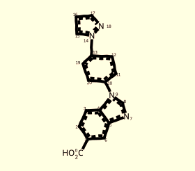 O=C(O)c1ccc2c(c1)ncn2-c1ccc(-n2cccn2)cc1